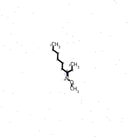 CCCCCC/C(CC)=N/OC